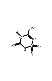 [CH2]SC1=NS(=O)(=O)NC(=O)N1C